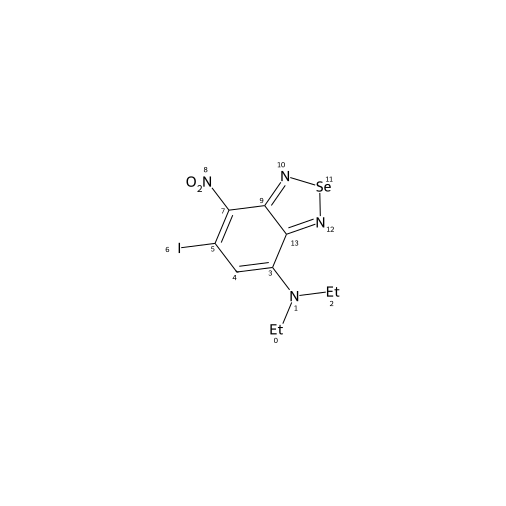 CCN(CC)c1cc(I)c([N+](=O)[O-])c2n[se]nc12